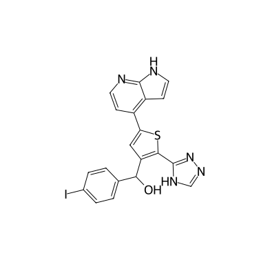 OC(c1ccc(I)cc1)c1cc(-c2ccnc3[nH]ccc23)sc1-c1nnc[nH]1